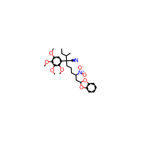 CCC(C)C(C#N)(CCCC(CC1Oc2ccccc2O1)[N+](=O)[O-])c1cc(OC)c(OC)c(OC)c1OC